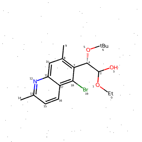 CCOC(O)[C@@H](OC(C)(C)C)c1c(C)cc2nc(C)ccc2c1Br